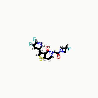 CC1(F)CN(C(=O)Cn2ccc3scc(-c4cnc(F)c(F)c4)c3c2=O)C1